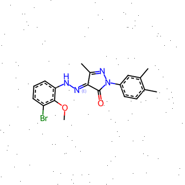 COc1c(Br)cccc1N/N=C1/C(=O)N(c2ccc(C)c(C)c2)N=C1C